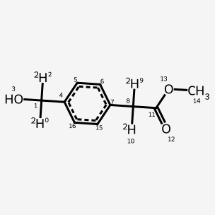 [2H]C([2H])(O)c1ccc(C([2H])([2H])C(=O)OC)cc1